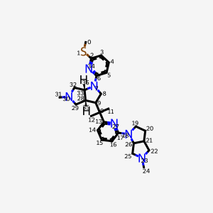 CSc1cccc(N2CC(C(C)(C)c3cccc(N4CCC5CN(C)CC54)n3)[C@@H]3CN(C)C[C@@H]32)n1